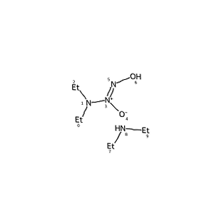 CCN(CC)/[N+]([O-])=N/O.CCNCC